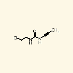 CC#CNC(=O)NCCCl